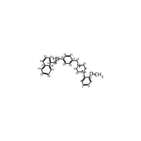 COc1ccccc1N1CCN(Cc2ccc(NSc3cccc4ccccc34)cc2)CC1